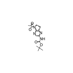 CC(C)(C)OC(=O)Nc1cnc2c(ccn2S(C)(=O)=O)n1